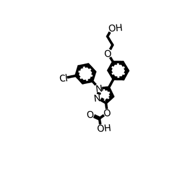 O=C(O)Oc1cc(-c2cccc(OCCO)c2)n(-c2cccc(Cl)c2)n1